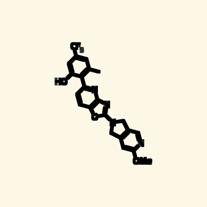 COc1cc2c(cn1)CN(c1nc3nc(-c4c(C)cc(C(F)(F)F)cc4O)ccc3o1)C2